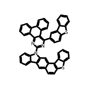 c1ccc2c(c1)sc1ccc(-c3nc(-n4c5ccccc5c5cc6ccc7sc8ccccc8c7c6cc54)nc4c5ccccc5c5ccccc5c34)cc12